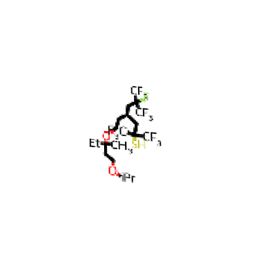 CCC(C)(CCOC(C)C)OCCC(CC(F)(C(F)(F)F)C(F)(F)F)CC(S)(C(F)(F)F)C(F)(F)F